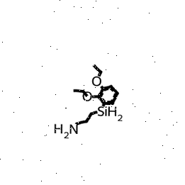 CCOc1cccc([SiH2]CCCN)c1OCC